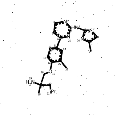 Cc1csc(Nc2nccc(-c3ccc(OCC(C)(N)CC(C)C)c(C)c3)n2)n1